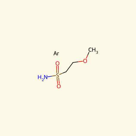 COCCS(N)(=O)=O.[Ar]